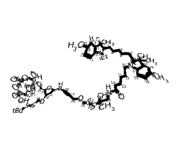 CCN1\C(=C/C=C/C=C/C2=[N+](CCCCCC(=O)NCC(C)(C)SSCOCC#CB[C@H]3C[C@@H](OCSSC(C)(C)C)[C@@H](COP(=O)(O)OP(=O)(O)OP(=O)(O)O)O3)c3ccc(C)cc3C2(C)C)C(C)(C)c2cc(C)ccc21